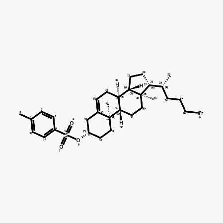 Cc1ccc(S(=O)(=O)O[C@H]2CC[C@@]3(C)C(=CC[C@H]4[C@@H]5CC[C@H]([C@H](C)CCCC(C)C)[C@@]5(C)CC[C@@H]43)C2)cc1